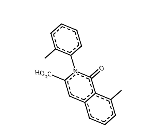 Cc1ccccc1-n1c(C(=O)O)cc2cccc(C)c2c1=O